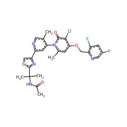 CC(=O)NC(C)(C)c1nc(-c2cc(-n3c(C)cc(OCc4ncc(F)cc4F)c(Cl)c3=O)c(C)cn2)cs1